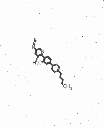 CCCCCC1CCC(c2ccc(-c3ncc(N=C=S)cc3F)c(C)c2)CC1